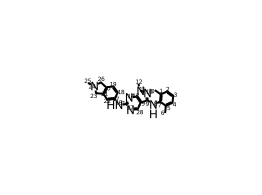 Cc1cccc(C)c1Nc1nn(C)c2nc(Nc3ccc4c(c3)CN(C)C4)ncc12